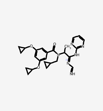 CC(/C(=N/C=N)Nc1ncccn1)N(CC1CC1)C(=O)c1cc(OC2CC2)cc(OC2CC2)c1